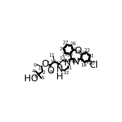 C[C@H](CC(C)(C)O)OC(=O)[C@@H](C)[C@H]1CN(C2=Nc3cc(Cl)ccc3Oc3ccccc32)CCN1